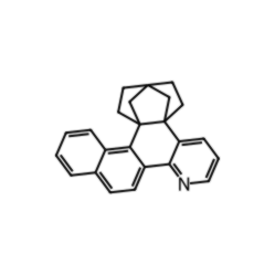 c1cnc2c(c1)C13CCC4(CCC1(C4)c1c-2ccc2ccccc12)C3